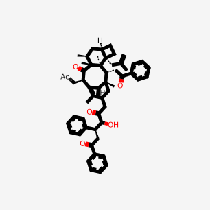 C=C(C)C[C@@]12CC[C@@H]1C[C@H](C)[C@@]1(C)C(=O)[C@H](CC(C)=O)C3=C(C)C(CC(=O)C(O)[C@@H](CC(=O)c4ccccc4)c4ccccc4)C[C@@](C)([C@@H](CC(=O)c4ccccc4)[C@]21C)[C@H]3C